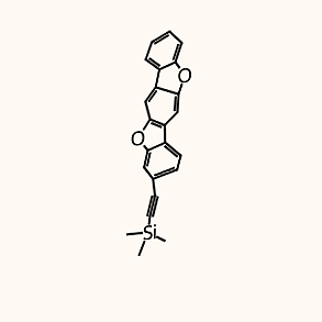 C[Si](C)(C)C#Cc1ccc2c(c1)oc1cc3c(cc12)oc1ccccc13